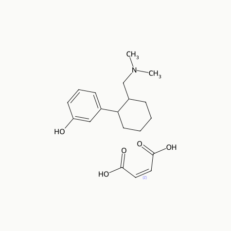 CN(C)CC1CCCCC1c1cccc(O)c1.O=C(O)/C=C\C(=O)O